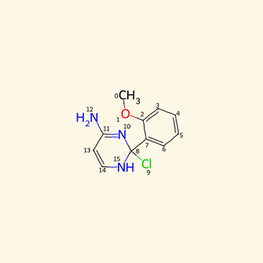 COc1ccccc1C1(Cl)N=C(N)C=CN1